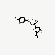 O=C(NNc1ccc(F)nc1)c1cnc(Cl)s1